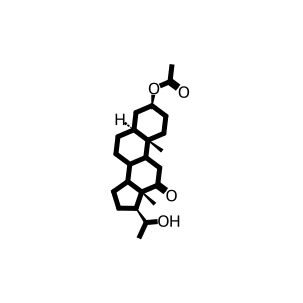 CC(=O)O[C@H]1CC[C@]2(C)C3CC(=O)[C@@]4(C)C(CC[C@@H]4C(C)O)C3CC[C@H]2C1